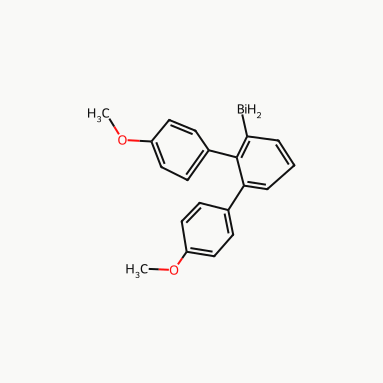 COc1ccc(-c2ccc[c]([BiH2])c2-c2ccc(OC)cc2)cc1